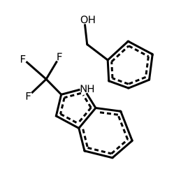 FC(F)(F)c1cc2ccccc2[nH]1.OCc1ccccc1